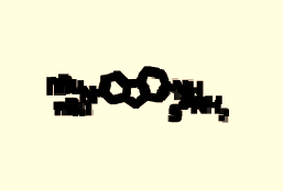 CCCCN(CCCC)c1ccc2c(c1)Cc1cc(NC(N)=S)ccc1-2